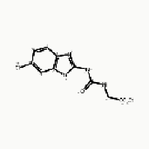 CCOC(=O)CNC(=O)Nc1nc2ccc(Cl)cc2o1